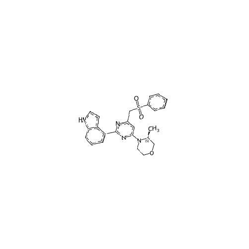 C[C@H]1COCCN1c1cc(CS(=O)(=O)c2ccccc2)nc(-c2cccc3[nH]ccc23)n1